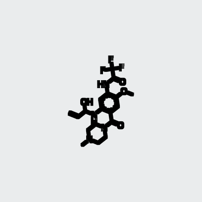 C=CC(O)Nc1cc(NC(=O)C(F)(F)F)c(OC)cc1C(=O)N1CCN(C)CC1